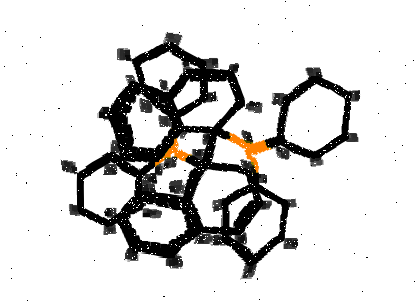 C1=Cc2ccccc2C(P(C2CCCCC2)C2CCCCC2)(C2(P(C3CCCCC3)C3CCCCC3)CC=Cc3ccccc32)C1